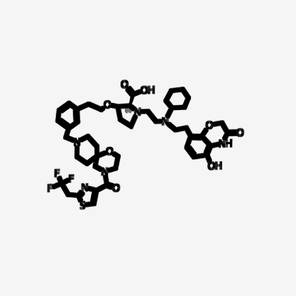 O=C1COc2c(CCN(CCN3CCC(OCCc4cccc(CN5CCC6(CC5)CN(C(=O)c5csc(CC(F)(F)F)n5)CCO6)c4)[C@H]3C(=O)O)C3CCCCC3)ccc(O)c2N1